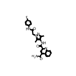 Cc1nn(CC(=O)Nc2ccc(F)cc2)c(C)c1NC(=O)c1cc(C(N)=O)c2ccccc2n1